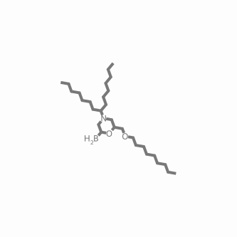 BC1CN(C(CCCCCCC)CCCCCCC)CC(COCCCCCCCCC)O1